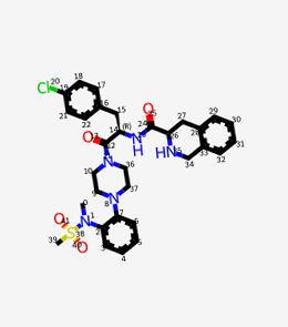 CN(c1ccccc1N1CCN(C(=O)[C@@H](Cc2ccc(Cl)cc2)NC(=O)C2Cc3ccccc3CN2)CC1)S(C)(=O)=O